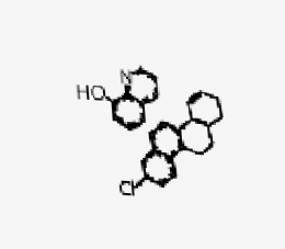 Clc1ccc2c3c(ccc2c1)C1=C(CCC=C1)CC3.Oc1cccc2cccnc12